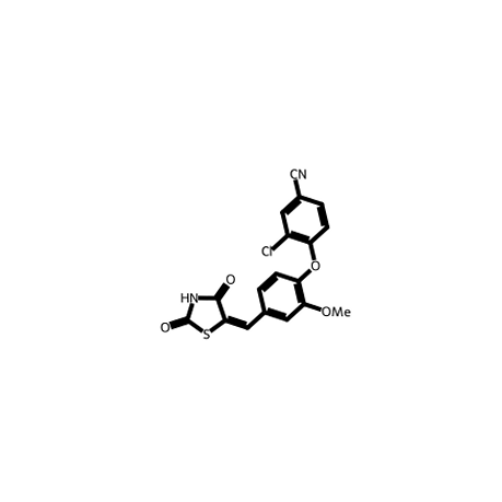 COc1cc(C=C2SC(=O)NC2=O)ccc1Oc1ccc(C#N)cc1Cl